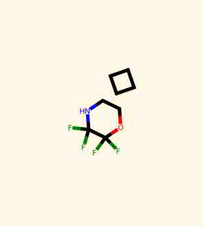 C1CCC1.FC1(F)NCCOC1(F)F